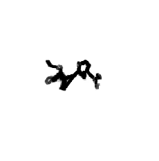 CCOC(=O)C1CC1c1cc([N+](=O)[O-])ccn1